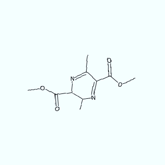 COC(=O)C1=NC(C)C(C(=O)OC)N=C1C